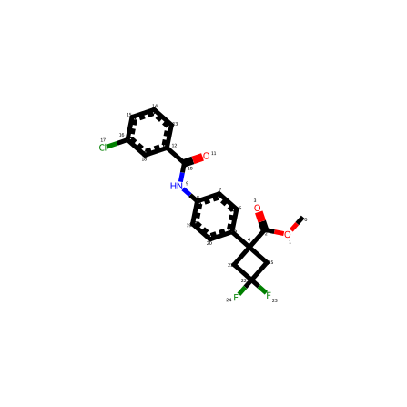 COC(=O)C1(c2ccc(NC(=O)c3cccc(Cl)c3)cc2)CC(F)(F)C1